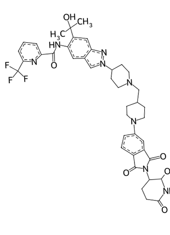 CC(C)(O)c1cc2nn(C3CCN(CC4CCN(c5ccc6c(c5)C(=O)N(C5CCC(=O)NC5O)C6=O)CC4)CC3)cc2cc1NC(=O)c1cccc(C(F)(F)F)n1